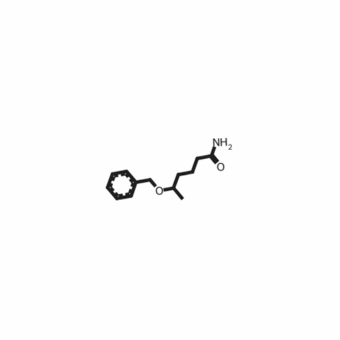 CC(CCCC(N)=O)OCc1ccccc1